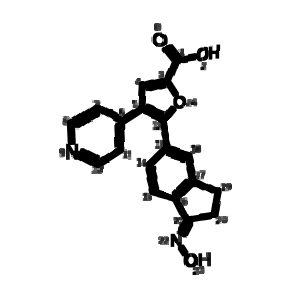 O=C(O)c1cc(-c2ccncc2)c(-c2ccc3c(c2)CCC3=NO)o1